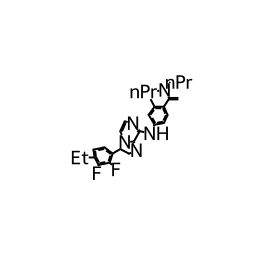 C=C(c1ccc(NC2=NC=CN3C2=NCC3c2ccc(CC)c(F)c2F)cc1C)N(CCC)CCC